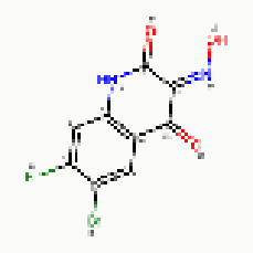 O=C1Nc2cc(Br)c(Br)cc2C(=O)/C1=N/O